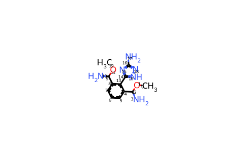 COC(N)c1cccc(C(N)OC)c1-c1nc(N)n[nH]1